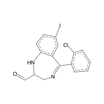 O=CC1CN=C(c2ccccc2Cl)c2cc(I)ccc2N1